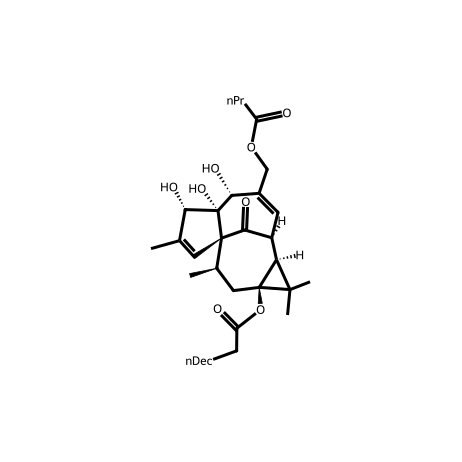 CCCCCCCCCCCC(=O)O[C@@]12C[C@@H](C)[C@]34C=C(C)[C@H](O)[C@@]3(O)[C@H](O)C(COC(=O)CCC)=C[C@H](C4=O)[C@H]1C2(C)C